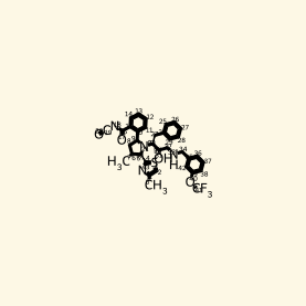 Cc1csc([C@H]2C(C)CC(c3ccccc3C(=O)N=C=O)N2[C@@H](Cc2ccccc2)[C@H](O)CNCc2cccc(OC(F)(F)F)c2)n1